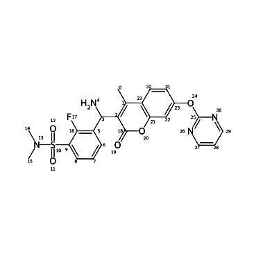 Cc1c(C(N)c2cccc(S(=O)(=O)N(C)C)c2F)c(=O)oc2cc(Oc3ncccn3)ccc12